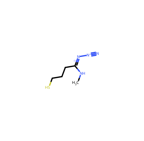 CN/C(CCCS)=N\[N+]#N